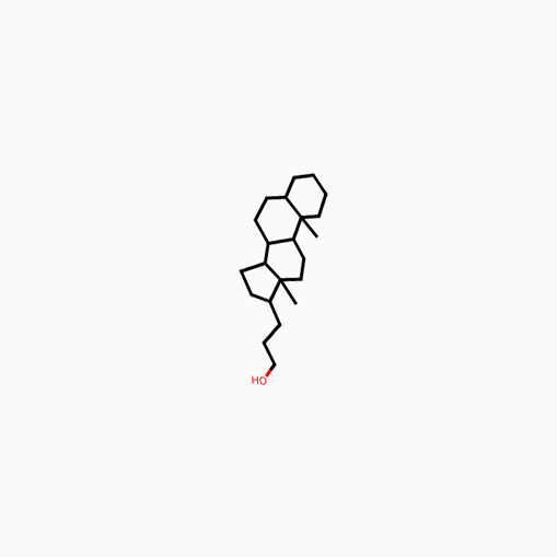 CC12CCCCC1CCC1C2CCC2(C)C(CCCO)CCC12